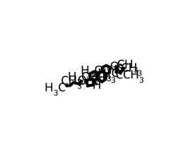 CC(C)CCCO[C@H]1CC[C@H]2[C@@H]3CC=C4C[C@@H](O[Si](C)(C)C(C)(C)C)CC[C@]4(C)[C@H]3CC[C@]12C